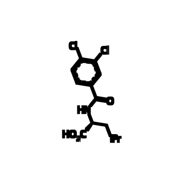 CC(C)C[C@H](NC(=O)c1ccc(Cl)c(Cl)c1)C(=O)O